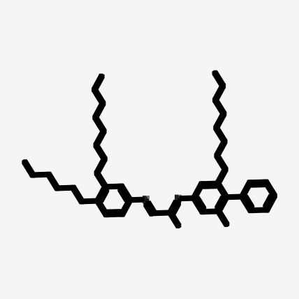 CCCCCCCCc1cc(N=CC(C)=Nc2cc(C)c(-c3ccccc3)c(CCCCCCCC)c2)ccc1CCCCCC